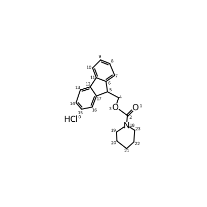 Cl.O=C(OCC1c2ccccc2-c2ccccc21)N1CCCCC1